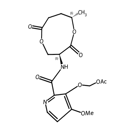 COc1ccnc(C(=O)N[C@H]2COC(=O)CC[C@H](C)OC2=O)c1OCOC(C)=O